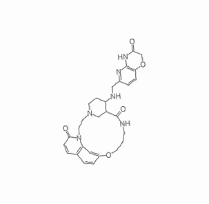 O=C1COc2ccc(CNC3CCN4CCn5c(=O)ccc6ccc(cc65)OCCCNC(=O)C3C4)nc2N1